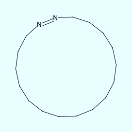 C1CCCCCCCCN=NCCCCCCC1